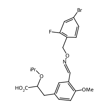 COc1ccc(CC(OC(C)C)C(=O)O)cc1C=NOCc1ccc(Br)cc1F